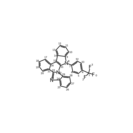 FC(F)(F)c1ccc(-n2c3ccccc3c3c4ccccc4c4nc5ccccc5n4c32)cc1